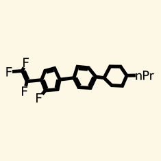 CCCC1CCC(c2ccc(-c3ccc(C(F)=C(F)F)c(F)c3)cc2)CC1